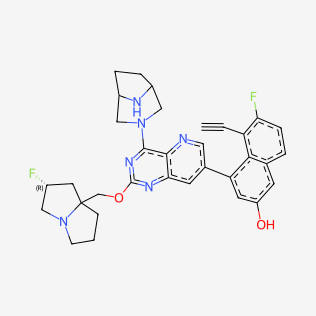 C#Cc1c(F)ccc2cc(O)cc(-c3cnc4c(N5CC6CCC(C5)N6)nc(OCC56CCCN5C[C@H](F)C6)nc4c3)c12